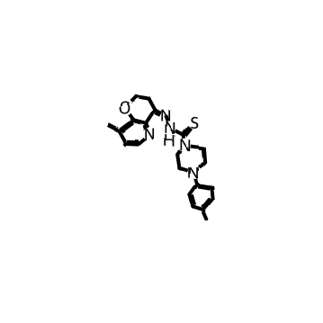 Cc1ccc(N2CCN(C(=S)N/N=C3/CCOc4c(C)ccnc43)CC2)cc1